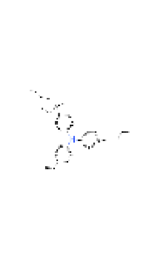 C=Cc1ccc(N(c2ccc(C(C)(CC)CCC)cc2)c2ccc(C(C)(CC)CCCC)cc2)cc1